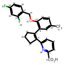 O=C(O)c1cccc(C2=C(c3cc(C(F)(F)F)ccc3OCc3ccc(F)cc3F)CCC2)n1